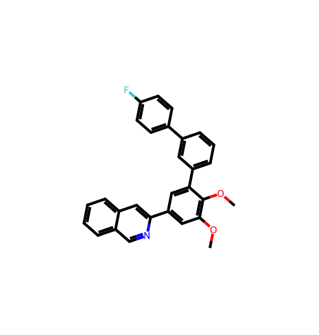 COc1cc(-c2cc3ccccc3cn2)cc(-c2cccc(-c3ccc(F)cc3)c2)c1OC